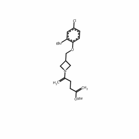 C=C(CCC(=C)N1CC(COc2ccc(Cl)cc2C(C)(C)C)C1)OC